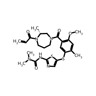 C=CC(=O)N1CCCN(C(=O)c2cc(Sc3cnc(NC(=O)N(C)C)s3)c(C)cc2OC)C[C@H]1C